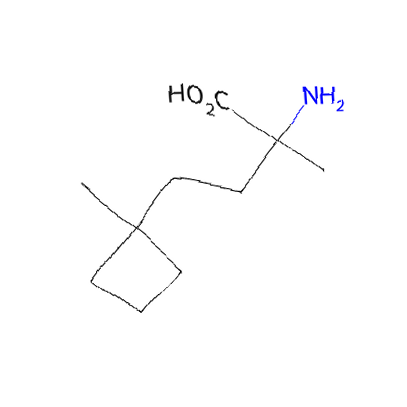 CC1(CCC(C)(N)C(=O)O)CCC1